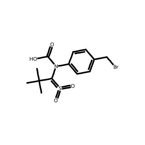 CC(C)(C)C(N(C(=O)O)c1ccc(CBr)cc1)=S(=O)=O